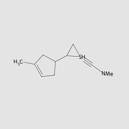 CNC#[SH]1CC1C1CC=C(C)C1